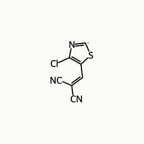 N#CC(C#N)=Cc1s[c]nc1Cl